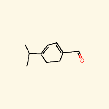 CC(C)C1=CC=C(C=O)CC1